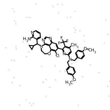 COc1ccc(CN(Cc2ccc(OC)cc2)c2cc(C)c(C(F)(F)F)c(-c3cc4ncnc5c4c(c3Cl)OCCN5C(c3cccnc3N)C3CC3)n2)cc1